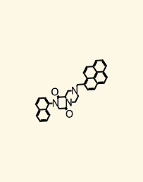 O=C1C2CN(Cc3ccc4ccc5cccc6ccc3c4c56)CCN2C(=O)CN1c1cccc2ccccc12